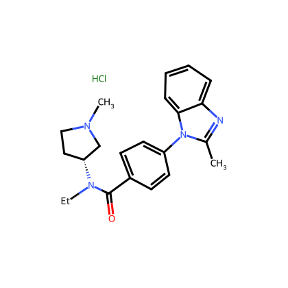 CCN(C(=O)c1ccc(-n2c(C)nc3ccccc32)cc1)[C@@H]1CCN(C)C1.Cl